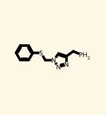 PCc1cn(CSc2ccccc2)nn1